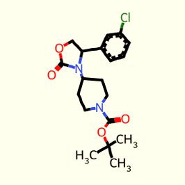 CC(C)(C)OC(=O)N1CCC(N2C(=O)OCC2c2cccc(Cl)c2)CC1